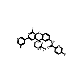 NC1=NCC[C@]2(O1)c1cc(NC(=O)c3ccc(F)cn3)ccc1Oc1c2cc(-c2cncc(F)c2)nc1F